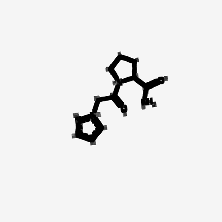 NC(=O)C1CCCN1C(=O)Cn1cccn1